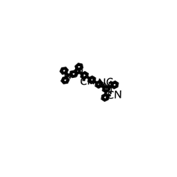 N#Cc1cc(-n2c3ccccc3c3cc(N(c4ccccc4)c4ccccc4)ccc32)ccc1-c1ccc(-c2ccc(-c3cc(-c4ccccc4C#N)nc(-c4ccccc4C#N)n3)cc2)cc1